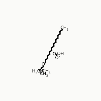 CCCCCCCCCCCCCCCCCCOCC[N+](C)(C)C.O=C([O-])O